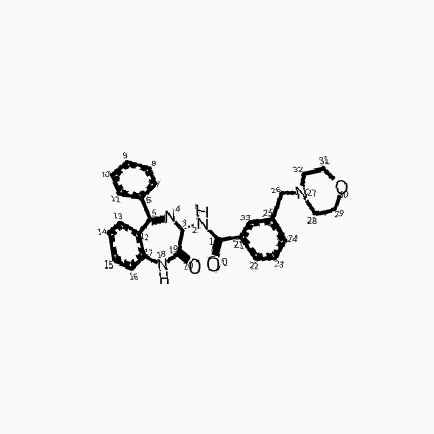 O=C(N[C@H]1N=C(c2ccccc2)c2ccccc2NC1=O)c1cccc(CN2CCOCC2)c1